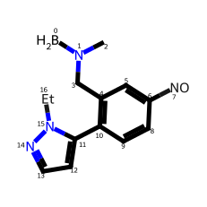 BN(C)Cc1cc(N=O)ccc1-c1ccnn1CC